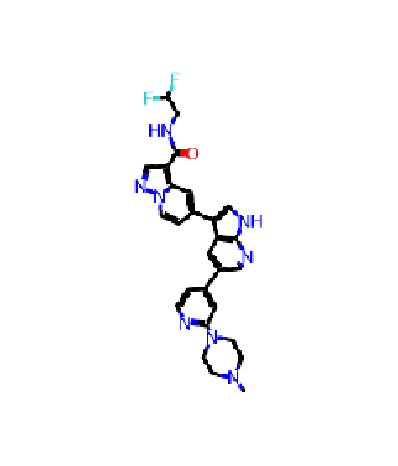 CN1CCN(c2cc(-c3cnc4[nH]cc(-c5ccn6ncc(C(=O)NCC(F)F)c6c5)c4c3)ccn2)CC1